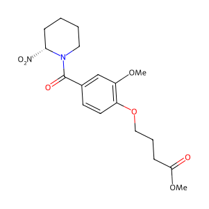 COC(=O)CCCOc1ccc(C(=O)N2CCCC[C@H]2[N+](=O)[O-])cc1OC